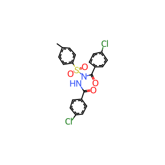 Cc1ccc(S(=O)(=O)N(NC(=O)c2ccc(Cl)cc2)C(=O)c2ccc(Cl)cc2)cc1